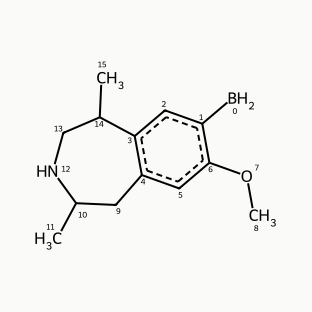 Bc1cc2c(cc1OC)CC(C)NCC2C